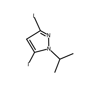 CC(C)n1nc(I)cc1I